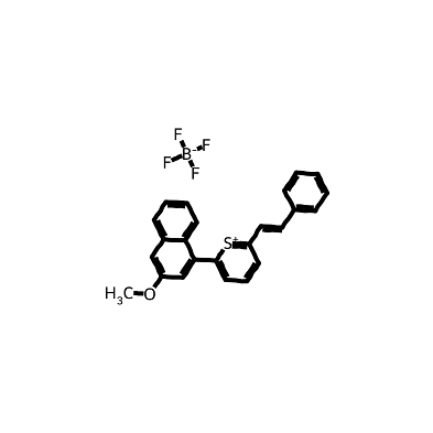 COc1cc(-c2cccc(C=Cc3ccccc3)[s+]2)c2ccccc2c1.F[B-](F)(F)F